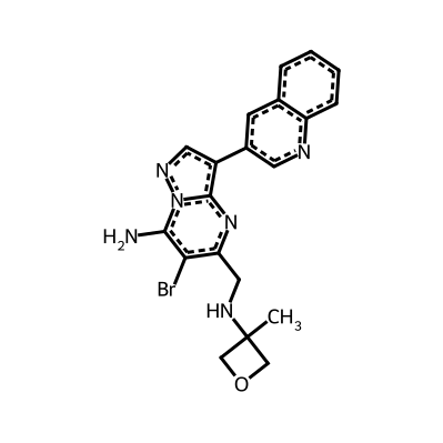 CC1(NCc2nc3c(-c4cnc5ccccc5c4)cnn3c(N)c2Br)COC1